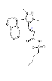 CCCCCS(=O)(=O)NC(=O)/C=C/c1c(C)nn(C)c1-c1cccc2ccccc12